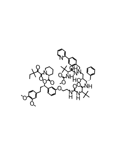 CCC(C)(C)C(=O)C(=O)N1CCCC[C@H]1C(=O)O[C@H](CCc1ccc(OC)c(OC)c1)c1cccc(OCCNC(=O)NC(C(=O)N[C@@H](Cc2ccccc2)[C@@H](O)CN(Cc2ccc(-c3ccccn3)cc2)NC(=O)[C@@H](NC(=O)OC)C(C)(C)C)C(C)(C)C)c1